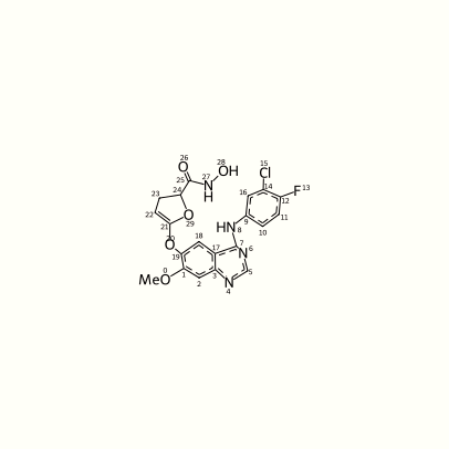 COc1cc2ncnc(Nc3ccc(F)c(Cl)c3)c2cc1OC1=CCC(C(=O)NO)O1